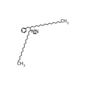 CCCCCCCCCCCCCCCCC(C(CCCCCCCCCCCCCCC)Cc1ccccc1)n1ccnc1